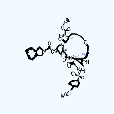 CC(C)(C)OC(=O)N[C@H]1CCCCC/C=C/[C@@H]2C[C@@]2(C(=O)NS(=O)(=O)c2ccc(C#N)cc2)NC(=O)[C@@H]2C[C@@H](OC(=O)N3Cc4ccccc4C3)CN2C1=O